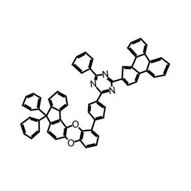 c1ccc(-c2nc(-c3ccc(-c4cccc5c4Oc4c(ccc6c4-c4ccccc4C6(c4ccccc4)c4ccccc4)O5)cc3)nc(-c3ccc4c5ccccc5c5ccccc5c4c3)n2)cc1